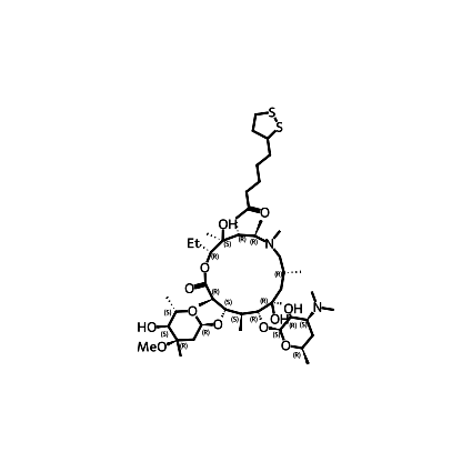 CC[C@H]1OC(=O)[C@H](C)[C@@H](O[C@H]2C[C@@](C)(OC)[C@@H](O)[C@H](C)O2)[C@H](C)[C@@H](O[C@@H]2O[C@H](C)C[C@H](N(C)C)[C@H]2O)[C@](C)(O)C[C@@H](C)CN(C)[C@H](C)[C@@H](CC(=O)CCCCC2CCSS2)[C@]1(C)O